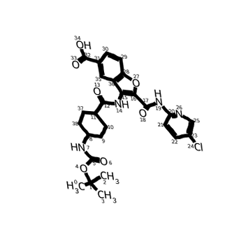 CC(C)(C)OC(=O)NC1CCC(C(=O)Nc2c(C(=O)Nc3ccc(Cl)cn3)oc3ccc(C(=O)O)cc23)CC1